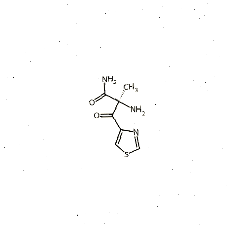 C[C@@](N)(C(N)=O)C(=O)c1cscn1